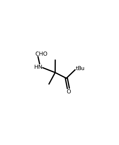 CC(C)(C)C(=O)C(C)(C)NC=O